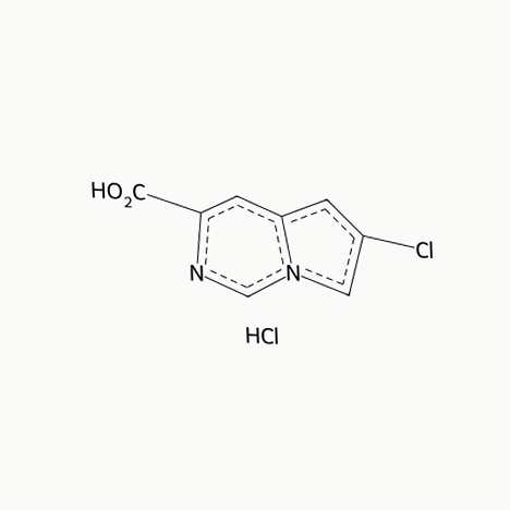 Cl.O=C(O)c1cc2cc(Cl)cn2cn1